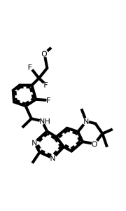 COCC(F)(F)c1cccc(C(C)Nc2nc(C)nc3cc4c(cc23)N(C)CC(C)(C)O4)c1F